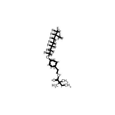 CCC(C)(C)C(=O)OCCc1ccc(OC(F)(F)C(F)(F)C(F)(F)C(F)(F)C(F)(F)C(F)(C(F)(F)F)C(F)(F)F)cc1